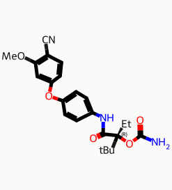 CC[C@](OC(N)=O)(C(=O)Nc1ccc(Oc2ccc(C#N)c(OC)c2)cc1)C(C)(C)C